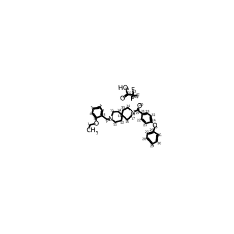 CCOc1ccccc1CN1CCC2(CC1)CCN(C(=O)c1ccc(Oc3ccccc3)cc1)CC2.O=C(O)C(F)(F)F